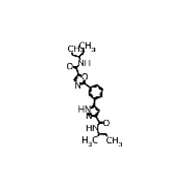 CCC(C)NC(=O)c1cc(-c2cccc(-c3ncc(C(=O)NC(CC)CC)o3)c2)[nH]n1